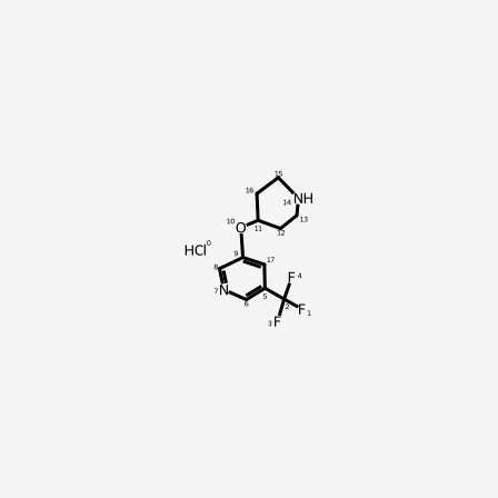 Cl.FC(F)(F)c1cncc(OC2CCNCC2)c1